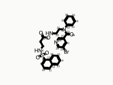 O=C(CCNS(=O)(=O)c1cccc2ccccc12)ONCCN(C(=O)c1cncc(Br)c1)c1ccccc1